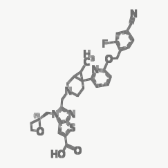 CC1C2CN(Cc3nc4sc(C(=O)O)cc4n3C[C@@H]3CCO3)CCC12c1cccc(OCc2ccc(C#N)cc2F)n1